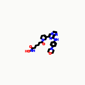 O=C(CCCCC(=O)N1CCC=C(c2cn3ccnc3c(Nc3ccc(N4CCOCC4)cc3)n2)C1)NO